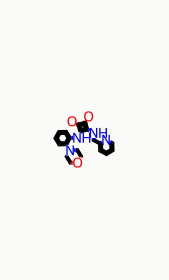 O=c1c(NCc2ccccn2)c(Nc2ccccc2N2CCOCC2)c1=O